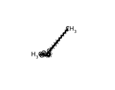 CCCCCCCCCCCCCCCCCCOc1cccc(CC(=O)OC)c1